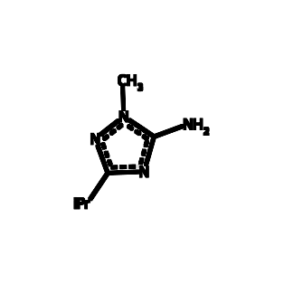 CC(C)c1nc(N)n(C)n1